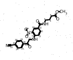 COC(=O)CCCNC(=O)c1ccc(NCC(=O)c2ccc(C#N)cc2)c([N+](=O)[O-])c1